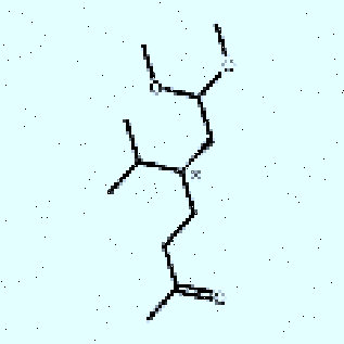 COC(C[C@@H](CCC(C)=O)C(C)C)OC